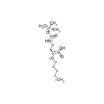 CCCCCO[C@@H](CCNC(=O)OC(C)(C)C)C(=O)O